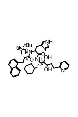 CC(C)(C)S(=O)(=O)C[C@@H](Cc1cccc2ccccc12)C(=O)NC(Cc1c[nH]cn1)C(=O)N[C@@H](CC1CCCCC1)[C@@H](O)[C@@H](O)CCc1ccccn1